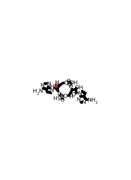 Nc1ncnc2c1ccn2[C@@H]1O[C@@H]2COP(=O)(S)OC3C(O)[C@@H](COP(=O)(O)OC2C1O)O[C@H]3n1ccc2c(N)ncnc21